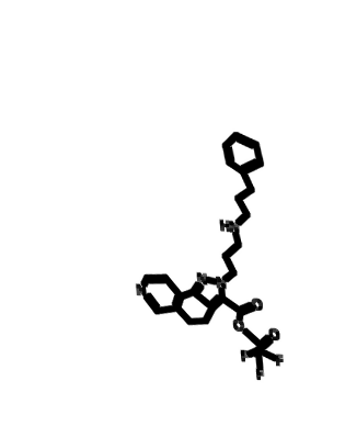 O=C(OC(=O)C(F)(F)F)c1c2c(nn1CCCNCCCc1ccccc1)-c1ccncc1CC2